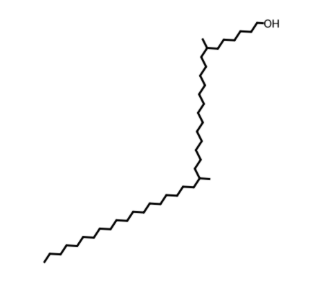 CCCCCCCCCCCCCCCCCCCC(C)CCCCCCCCCCCCCC(C)CCCCCCO